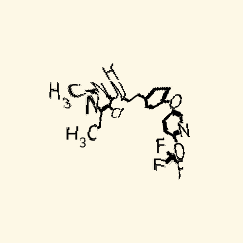 CCc1nc(C)nc(NCCc2ccc(Oc3ccc(OC(F)(F)F)nc3)cc2)c1Cl